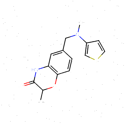 CC1Oc2ccc(CN(C)c3ccsc3)cc2NC1=O